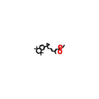 CCOC(=O)C=C(C)C=CCC1(c2ccc3c(c2)C(C)(C)CCC3(C)C)CC1